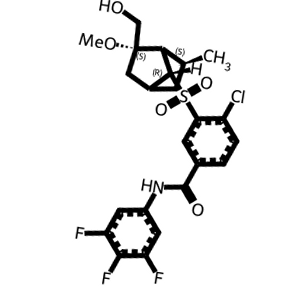 CO[C@@]1(CO)CC2C[C@H](C)C1[C@@H]2S(=O)(=O)c1cc(C(=O)Nc2cc(F)c(F)c(F)c2)ccc1Cl